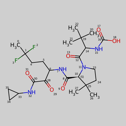 CC(F)(F)CCC(NC(=O)[C@H]1N(C(=O)C(NC(=O)O)C(C)(C)C)CCC1(C)C)C(=O)C(=O)NC1CC1